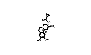 COc1cc2c(cc1OC)[C@@H]1C[C@H](N)[C@@H](NC(=O)C3CC3)CN1CC2